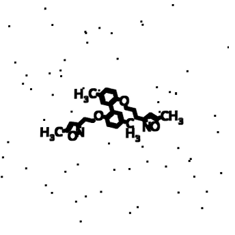 Cc1ccc(OCCCc2cc(C)on2)c(-c2cc(C)ccc2OCCc2cc(C)on2)c1